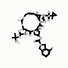 C[C@@H]1CCC=C[C@@H]2C[C@@]2(C(=O)NS(=O)(=O)C2(C)CC2)NC(=O)[C@@H]2C[C@@H](OC(=O)N3Cc4cccc(F)c4C3)CN2C(=O)[C@@H](NC(=O)OC(C)(C)C(F)(F)F)[C@H](C)C1